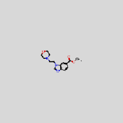 COC(=O)c1ccc2ncn(CCN3CCOCC3)c2c1